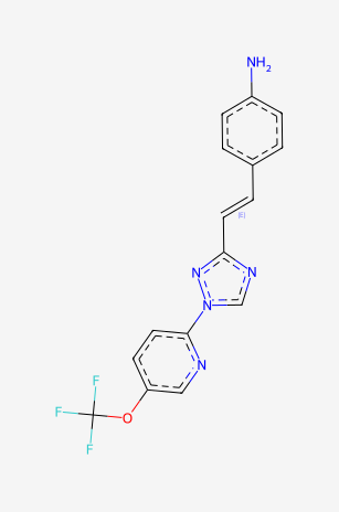 Nc1ccc(/C=C/c2ncn(-c3ccc(OC(F)(F)F)cn3)n2)cc1